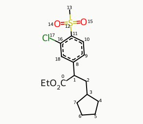 CCOC(=O)C(CC1CCCC1)c1ccc(S(C)(=O)=O)c(Cl)c1